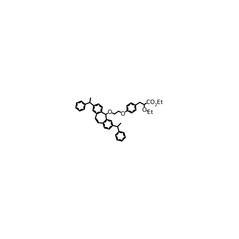 CCOC(=O)C(Cc1ccc(OCCOC2c3ccc(C(C)c4ccccc4)cc3C=Cc3ccc(C(C)c4ccccc4)cc32)cc1)OCC